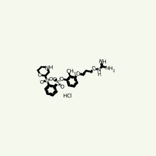 Cc1c(OCCCONC(=N)N)cccc1OS(=O)(=O)c1ccccc1S(=O)(=O)C1CNCCO1.Cl